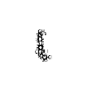 Cn1cc2ccc(Oc3cc(Cl)c(Nc4ncnc5ccc(Cl)nc45)cc3Cl)cc2n1